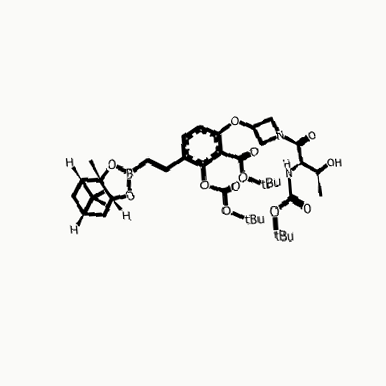 C[C@H](O)[C@@H](NC(=O)OC(C)(C)C)C(=O)N1CC(Oc2ccc(CCB3O[C@@H]4C[C@@H]5C[C@@H](C5(C)C)[C@]4(C)O3)c(OC(=O)OC(C)(C)C)c2C(=O)OC(C)(C)C)C1